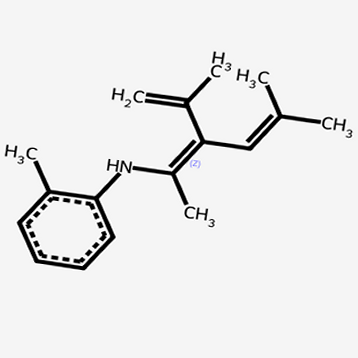 C=C(C)/C(C=C(C)C)=C(/C)Nc1ccccc1C